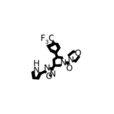 O=C(N1CCOCC1)N1CC(c2ccc(C(F)(F)F)cc2)CC(c2noc(-c3ccc[nH]3)n2)C1